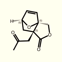 CC(=O)C[C@@]12C[C@H]3C=C[C@]1(COC2=O)O3